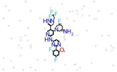 COc1cc(F)cc(F)c1-c1nccc(Nc2cc(N3C[C@@H](N)C[C@@H](F)C3)c(C3=CNN(CC(F)(F)F)C3)cn2)n1